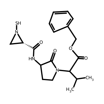 CC(C)C(C(=O)OCc1ccccc1)N1CCC(NC(=O)[C@@H]2CN2S)C1=O